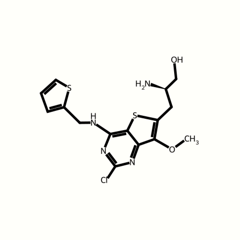 COc1c(C[C@@H](N)CO)sc2c(NCc3cccs3)nc(Cl)nc12